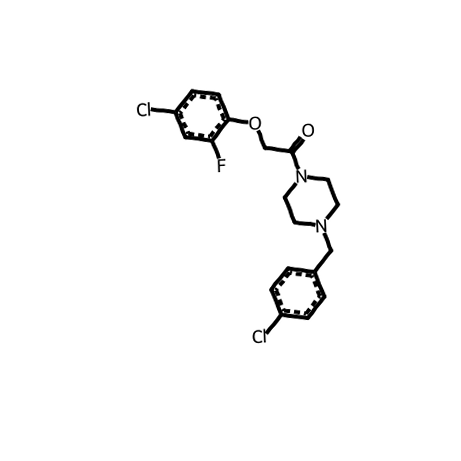 O=C(COc1ccc(Cl)cc1F)N1CCN(Cc2ccc(Cl)cc2)CC1